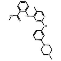 CNC(=O)c1ccccc1Nc1nc(Nc2cccc(N3CCN(C)CC3)c2)ncc1C